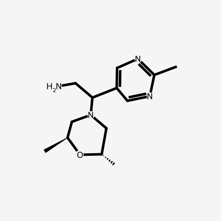 Cc1ncc(C(CN)N2C[C@H](C)O[C@@H](C)C2)cn1